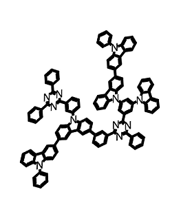 c1ccc(-c2nc(-c3ccccc3)nc(-c3cccc(-n4c5ccc(-c6cccc(-c7nc(-c8ccccc8)nc(-c8cc(-n9c%10ccccc%10c%10ccccc%109)cc(-n9c%10ccccc%10c%10cc(-c%11ccc%12c(c%11)c%11ccccc%11n%12-c%11ccccc%11)ccc%109)c8)n7)c6)cc5c5cc(-c6ccc7c(c6)c6ccccc6n7-c6ccccc6)ccc54)c3)n2)cc1